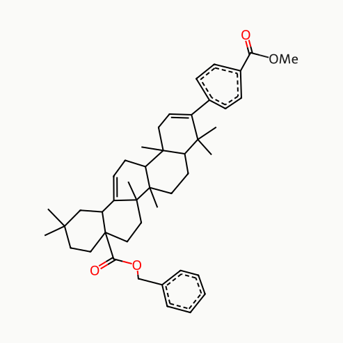 COC(=O)c1ccc(C2=CCC3(C)C(CCC4(C)C3CC=C3C5CC(C)(C)CCC5(C(=O)OCc5ccccc5)CCC34C)C2(C)C)cc1